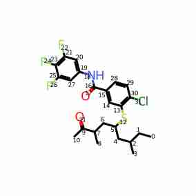 CCC(C)CC(CC(C)C(C)=O)Sc1cc(C(=O)Nc2cc(F)c(F)c(F)c2)ccc1Cl